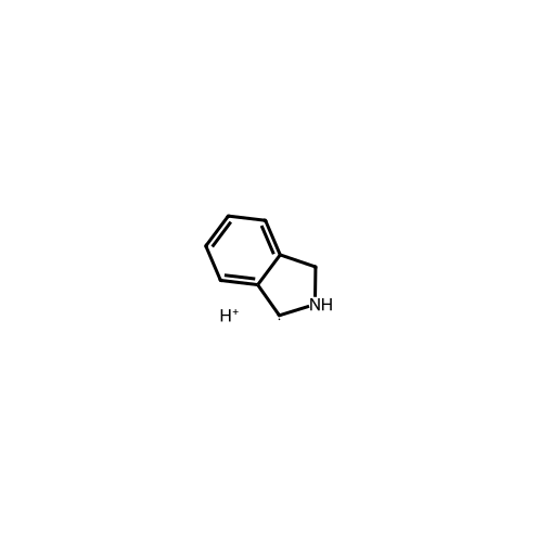 [CH]1NCc2ccccc21.[H+]